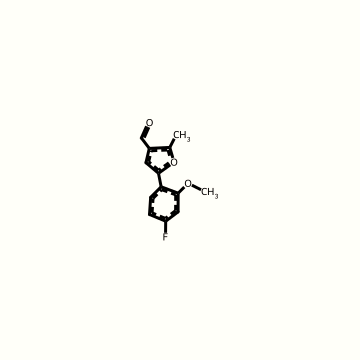 COc1cc(F)ccc1-c1cc(C=O)c(C)o1